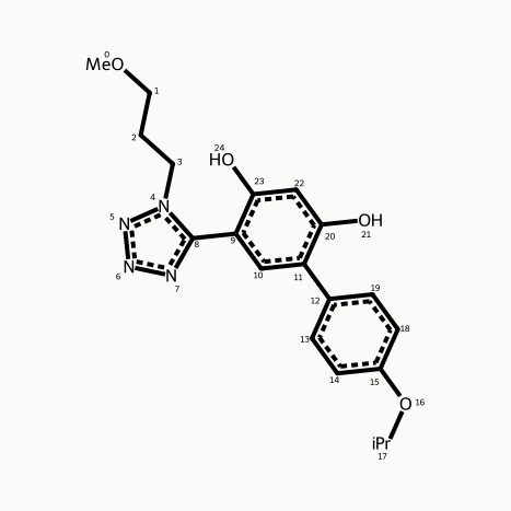 COCCCn1nnnc1-c1cc(-c2ccc(OC(C)C)cc2)c(O)cc1O